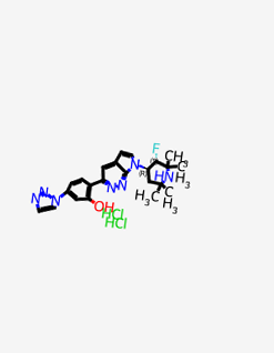 CC1(C)C[C@@H](n2ccc3cc(-c4ccc(-n5ccnn5)cc4O)nnc32)[C@H](F)C(C)(C)N1.Cl.Cl